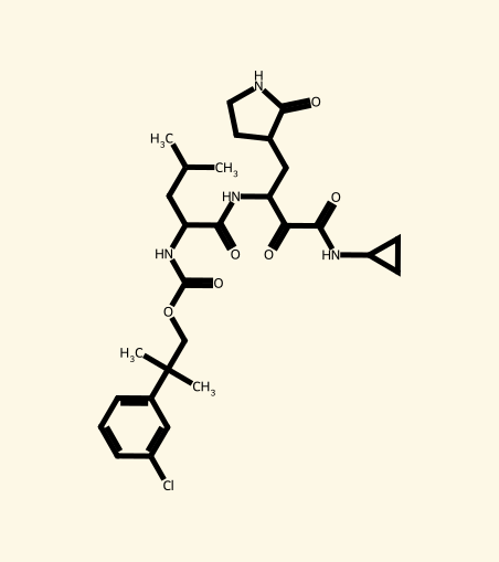 CC(C)CC(NC(=O)OCC(C)(C)c1cccc(Cl)c1)C(=O)NC(CC1CCNC1=O)C(=O)C(=O)NC1CC1